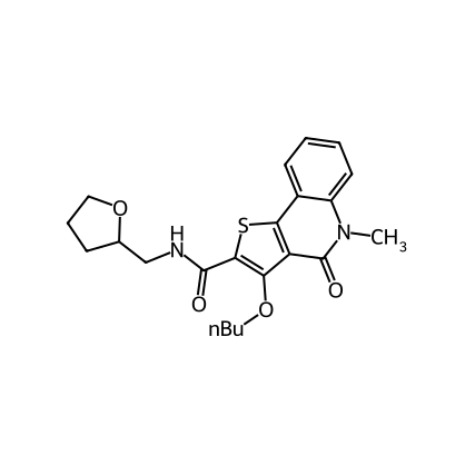 CCCCOc1c(C(=O)NCC2CCCO2)sc2c1c(=O)n(C)c1ccccc21